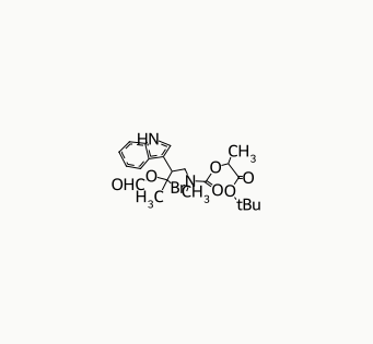 CC(OC(=O)N(C)CC(c1c[nH]c2ccccc12)C(C)(Br)OC=O)C(=O)OC(C)(C)C